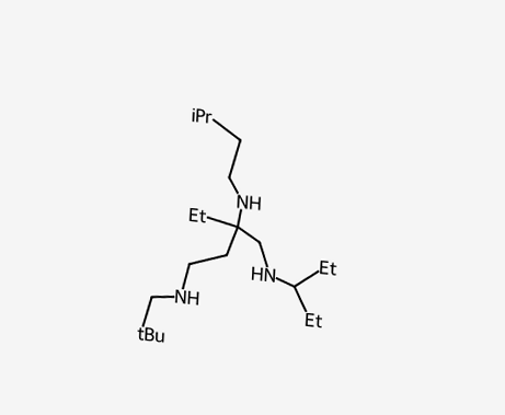 CCC(CC)NCC(CC)(CCNCC(C)(C)C)NCCC(C)C